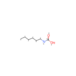 CCCCCC[N]C(=O)O